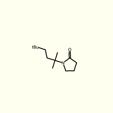 CC(C)(C)CCC(C)(C)N1CCCC1=O